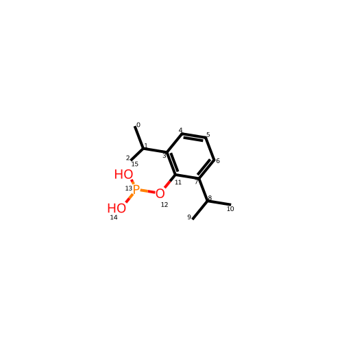 CC(C)c1cccc(C(C)C)c1OP(O)O